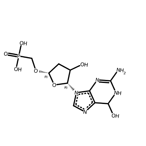 NC1=Nc2c(ncn2[C@@H]2O[C@H](OCP(=O)(O)O)CC2O)C(O)N1